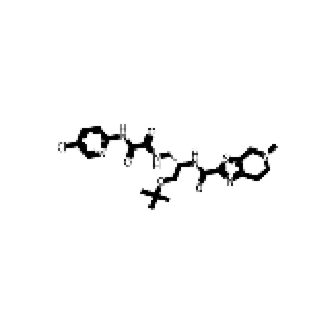 CN1CCc2nc(C(=O)N[C@@H](CNC(=O)C(=O)Nc3ccc(Cl)cn3)COC(C)(C)C)sc2C1